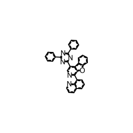 c1ccc(-c2nc(-c3ccccc3)nc(-c3cnc(-c4cccc5cccnc45)c4oc5ccccc5c34)n2)cc1